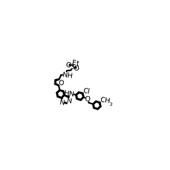 CCS(=O)(=O)CCNCc1ccc(-c2ccc3ncnc(Nc4ccc(OCc5cccc(C)c5)c(Cl)c4)c3c2)o1